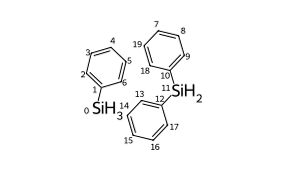 [SiH3]c1ccccc1.c1ccc([SiH2]c2ccccc2)cc1